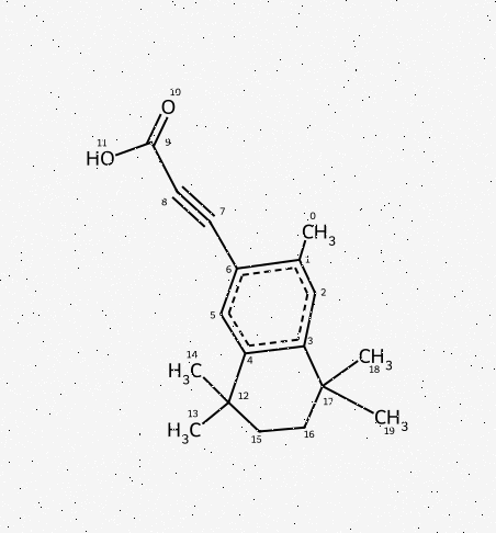 Cc1cc2c(cc1C#CC(=O)O)C(C)(C)CCC2(C)C